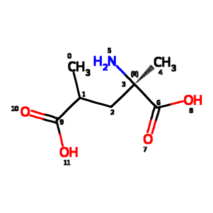 CC(C[C@@](C)(N)C(=O)O)C(=O)O